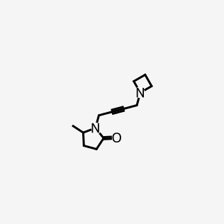 CC1CCC(=O)N1CC#CCN1CCC1